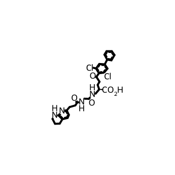 O=C(CCc1ccc2c(n1)NCCC2)NCC(=O)NC[C@@H](CCC(=O)c1c(Cl)cc(-c2ccccc2)cc1Cl)C(=O)O